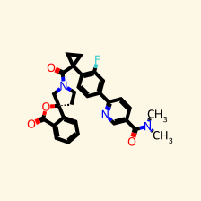 CN(C)C(=O)c1ccc(-c2ccc(C3(C(=O)N4CC[C@@]5(C4)OC(=O)c4ccccc45)CC3)c(F)c2)nc1